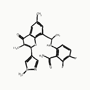 Cc1cc(C(C)Nc2ccc(F)c(F)c2C(N)=O)c2oc(-c3cnn(C)c3)c(C)c(=O)c2c1